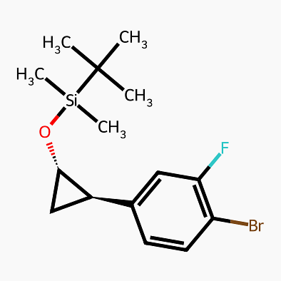 CC(C)(C)[Si](C)(C)O[C@H]1C[C@@H]1c1ccc(Br)c(F)c1